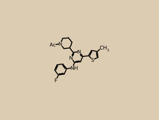 CC(=O)N1CCCC(c2nc(Nc3cccc(F)c3)cc(-c3cc(C)cs3)n2)C1